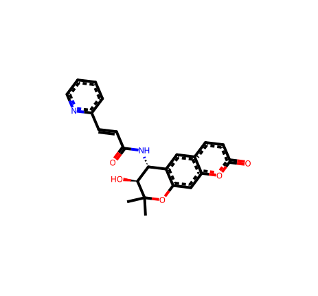 CC1(C)Oc2cc3oc(=O)ccc3cc2[C@@H](NC(=O)/C=C/c2ccccn2)[C@@H]1O